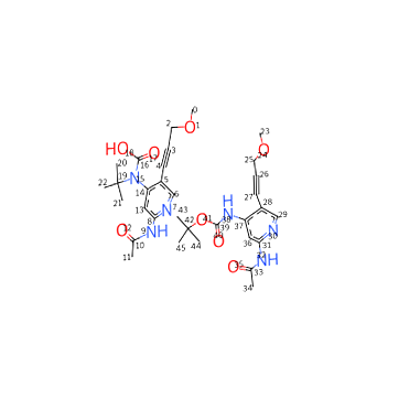 COCC#Cc1cnc(NC(C)=O)cc1N(C(=O)O)C(C)(C)C.COCC#Cc1cnc(NC(C)=O)cc1NC(=O)OC(C)(C)C